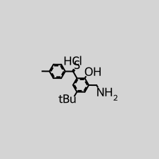 Cc1ccc(C(=S)c2cc(C(C)(C)C)cc(CN)c2O)cc1.Cl